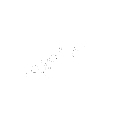 CN(C)c1cc(Cl)ccc1C(=O)Nc1ccc(NCCc2cccc(N)n2)cc1